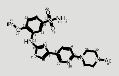 CC(=O)N1CCN(c2ccc(-c3csc(Nc4cc(S(N)(=O)=O)ccc4OC(C)C)n3)cn2)CC1